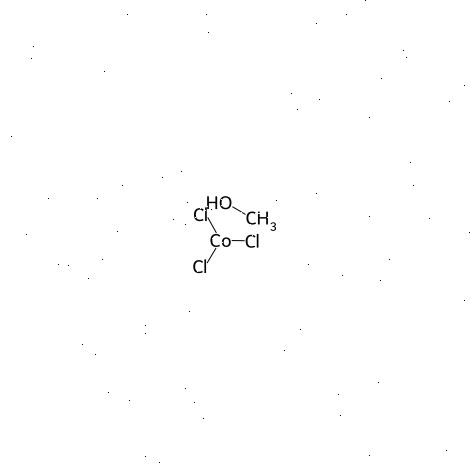 CO.[Cl][Co]([Cl])[Cl]